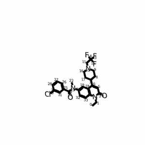 CCn1c(=O)cc(C2CCN(CC(F)(F)F)CC2)c2cc(N(C)C(=O)c3cccc(Cl)c3)ccc21